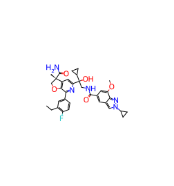 CCc1cc(-c2nc([C@@](O)(CNC(=O)c3cc(OC)c4nn(C5CC5)cc4c3)C3CC3)cc3c2OC[C@]3(C)C(N)=O)ccc1F